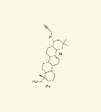 C#CCO[C@@H]1CC(C)(C)C[C@H]2C3=CCC4[C@@](C)(CCC5[C@]4(C)CC[C@H](O)[C@]5(C)CO)C3CC[C@@]12C